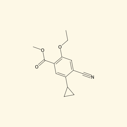 CCOc1cc(C#N)c(C2CC2)cc1C(=O)OC